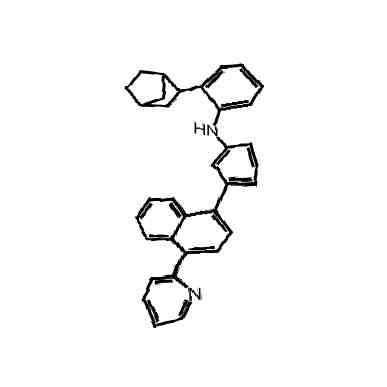 c1ccc(-c2ccc(-c3cccc(Nc4ccccc4C4CC5CCC4C5)c3)c3ccccc23)nc1